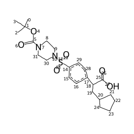 CC(C)(C)OC(=O)N1CCN(S(=O)(=O)c2ccc(C(CC3CCCC3)C(=O)O)cc2)CC1